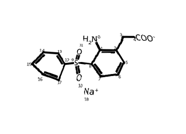 Nc1c(CC(=O)[O-])cccc1S(=O)(=O)c1ccccc1.[Na+]